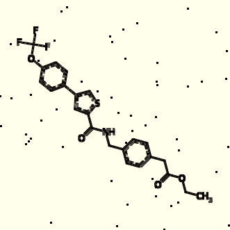 CCOC(=O)Cc1ccc(CNC(=O)c2cc(-c3ccc(OC(F)(F)F)cc3)cs2)cc1